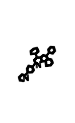 c1ccc(-c2cc3c(-c4ccccc4)cc(-c4ccc(-c5ccccn5)cc4)nc3c3ccccc23)cc1